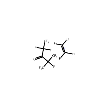 F/C(Cl)=C(\F)Cl.O=C(C(F)(F)C(F)(F)F)C(F)(C(F)(F)F)C(F)(F)F